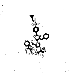 CC(C)(O)c1cnnn1[C@H]1C[C@@H](C(=O)NC2(C(=O)C(N)=O)CCSCC2)N(C(=O)C(CC2CCCCC2)NC(=O)c2ccc(S(=O)(=O)NCC3CC3)cc2)C1